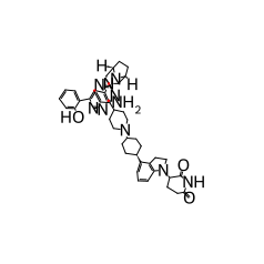 Nc1nnc(-c2ccccc2O)cc1N1C[C@H]2CC[C@@H](C1)N2c1nccc(C2CCN([C@H]3CC[C@H](c4cccc5c4CCN5C4CCC(=O)NC4=O)CC3)CC2)n1